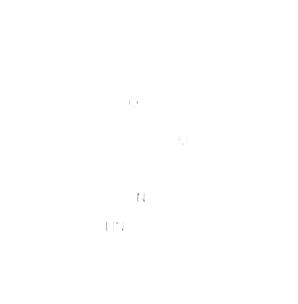 CCOC(=O)CN1C=CC=CN1